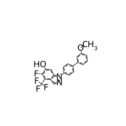 COc1cccc(-c2ccc(-n3ncc4c(C(F)(F)F)c(F)c(O)cc43)cc2)c1